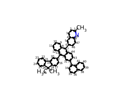 Cc1ccc2cc(-c3c4ccccc4c(-c4ccc5c(c4)-c4ccccc4C5(C)C)c4cc(-c5cccc6ccccc56)ccc34)ccc2n1